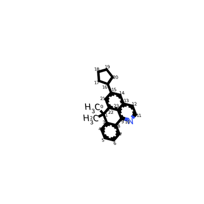 CC1(C)c2ccccc2-c2nccc3cc(C4CCCC4)cc1c23